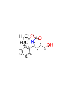 CC1(C)OC(=O)N1C(CCCO)c1ccccc1